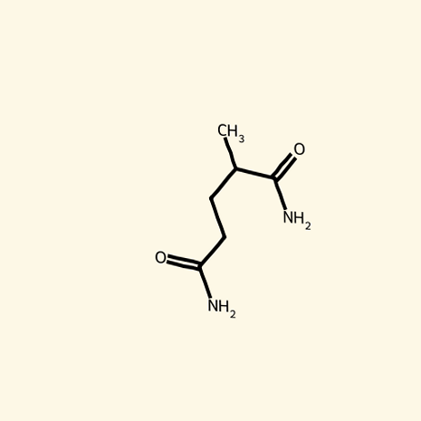 CC(CCC(N)=O)C(N)=O